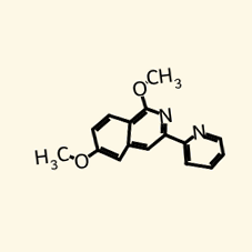 COc1ccc2c(OC)nc(-c3ccccn3)cc2c1